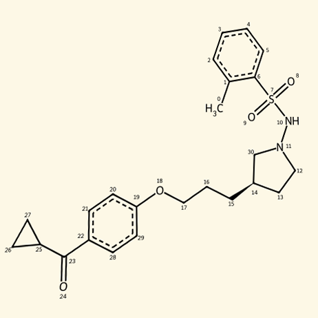 Cc1ccccc1S(=O)(=O)NN1CC[C@@H](CCCOc2ccc(C(=O)C3CC3)cc2)C1